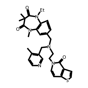 CCN1C(=O)C(C)(C)C(=O)N(C)c2cc(CN(CCn3ccc4sccc4c3=O)Cc3cnccc3C)ccc21